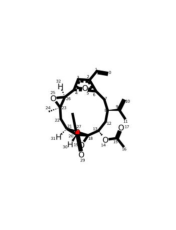 C=Cc1cc2oc1C[C@@H](C(=C)C)C[C@H](OC(C)=O)C13O[C@@H]1[C@@H](C[C@@]1(C)O[C@@H]21)OC3=O